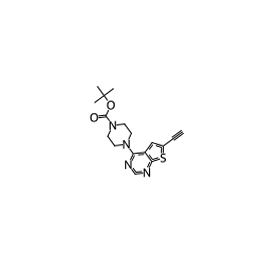 C#Cc1cc2c(N3CCN(C(=O)OC(C)(C)C)CC3)ncnc2s1